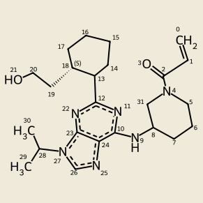 C=CC(=O)N1CCCC(Nc2nc(C3CCCC[C@H]3CCO)nc3c2ncn3C(C)C)C1